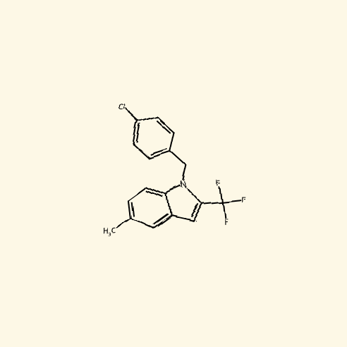 Cc1ccc2c([c]c(C(F)(F)F)n2Cc2ccc(Cl)cc2)c1